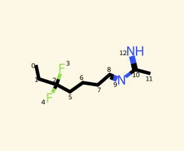 CCC(F)(F)CCC/C=N/C(C)=N